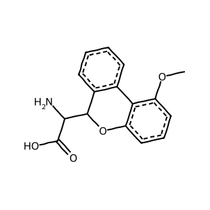 COc1cccc2c1-c1ccccc1C(C(N)C(=O)O)O2